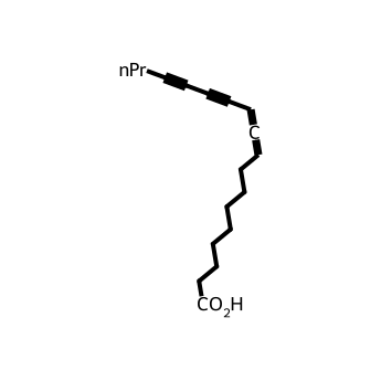 CCCC#CC#CC=C=CCCCCCCCC(=O)O